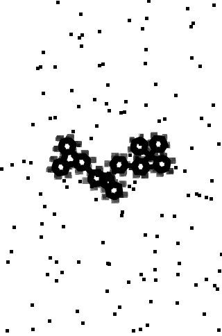 c1ccc(C2(c3ccccc3)c3ccccc3-c3ccc(-c4cccc(-n5c6ccccc6c6ccc(-c7ccc8c9ccccc9c9ccccc9c8c7)cc65)c4)cc32)cc1